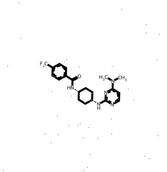 CN(C)c1ccnc(N[C@H]2CC[C@@H](NC(=O)c3ccc(C(F)(F)F)cc3)CC2)n1